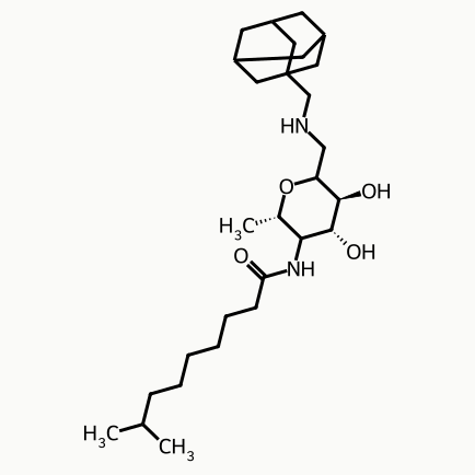 CC(C)CCCCCCC(=O)NC1[C@H](C)OC(CNCC23CC4CC(CC(C4)C2)C3)[C@@H](O)[C@@H]1O